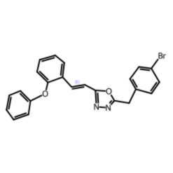 Brc1ccc(Cc2nnc(/C=C/c3ccccc3Oc3ccccc3)o2)cc1